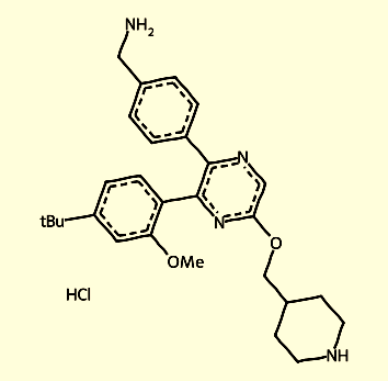 COc1cc(C(C)(C)C)ccc1-c1nc(OCC2CCNCC2)cnc1-c1ccc(CN)cc1.Cl